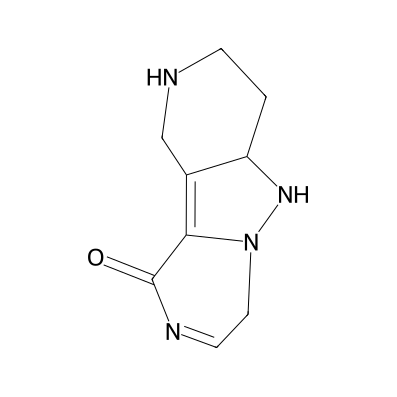 O=C1N=CCN2NC3CCNCC3=C12